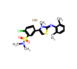 Br.Cc1cccc(C)c1N=c1scc(-c2ccc(Cl)c(S(=O)(=O)N(C)C)c2)n1C